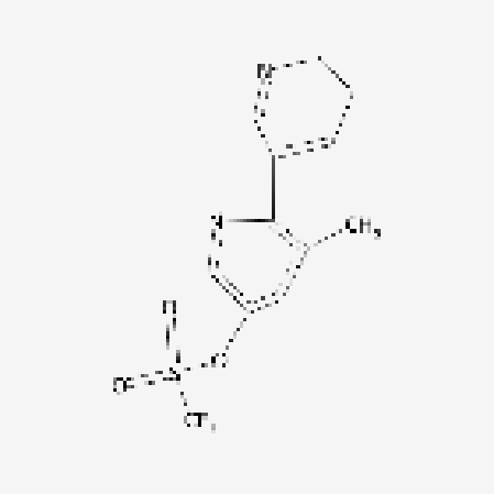 Cc1cc(OS(=O)(=O)C(F)(F)F)cnc1C1=CCCN=C1